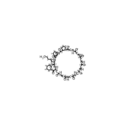 CCCCCC1NC(=O)C2(CCCC2)NC(=O)C2CCCN2C(=O)CNC(=O)CNC(=O)CNC(=O)CNC(=O)CNC(=O)CNC(=O)CNC(=O)CC(C(=O)N2CCCCC2)NC1=O